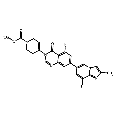 Cc1cn2cc(-c3cc(F)c4c(=O)n(C5=CCN(C(=O)OC(C)(C)C)CC5)cnc4c3)cc(F)c2n1